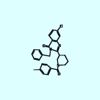 Cc1ccc(C(=O)N2CCCC(c3nc4cc(Cl)ccc4c(=O)n3Cc3ccccc3)C2)cc1